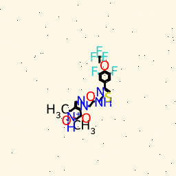 CC1C(=O)c2c(cnn2CC(=O)Nc2nc(-c3cc(F)c(OCC(F)(F)F)c(F)c3)cs2)C(C)[NH+]1[O-]